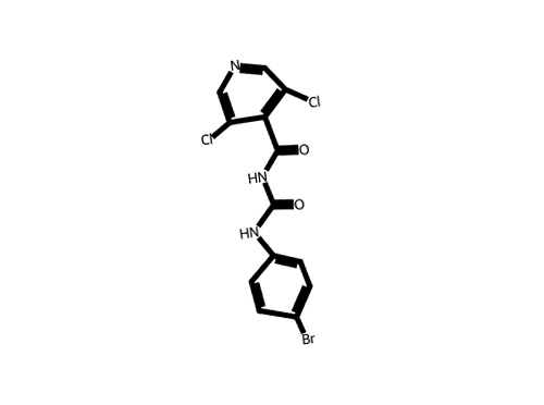 O=C(NC(=O)c1c(Cl)cncc1Cl)Nc1ccc(Br)cc1